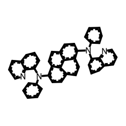 c1ccc(N(c2ccc3ccc4c(N(c5ccccc5)c5cccc6cccnc56)ccc5ccc2c3c54)c2cccc3cccnc23)cc1